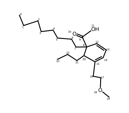 CCCCCCCCC1(C(=O)O)C=CC=C(CCOC)C1CCC